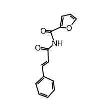 O=C(C=Cc1ccccc1)NC(=O)c1ccco1